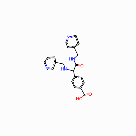 O=C(O)c1ccc(C(NCc2cccnc2)C(=O)NCc2ccncc2)cc1